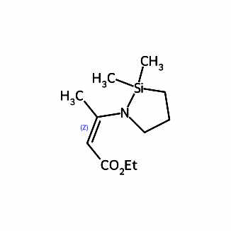 CCOC(=O)/C=C(/C)N1CCC[Si]1(C)C